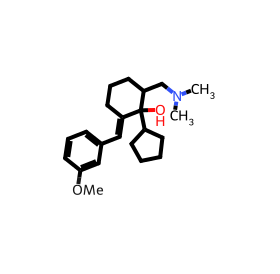 COc1cccc(/C=C2\CCCC(CN(C)C)C2(O)C2CCCC2)c1